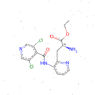 CCOC(=O)[C@@H](N)Cc1ncccc1NC(=O)c1c(Cl)cncc1Cl